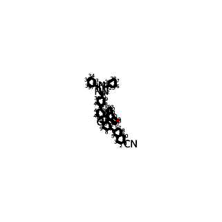 N#Cc1ccc2cc(-c3ccc4c(c3)C3(c5cc(-c6ccc(-c7nc(-c8ccccc8)nc(-c8ccccc8)n7)cc6)ccc5O4)c4ccccc4-c4ccccc43)ccc2c1